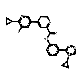 O=C(Nc1cccc(-c2nncn2C2CC2)c1)C1=NCCC(c2cnc(C3CC3)c(F)c2)=C1